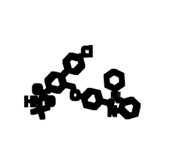 CC(C)(C)NS(=O)(=O)c1ccc(-c2ccc(Cl)cc2)c(COc2ccc(-c3nc4ccccc4n3C3CCCCC3)cc2)c1